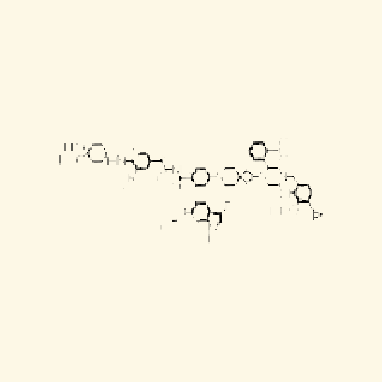 CCOc1nc2[nH]cc(F)c2cc1Oc1cc(N2CCC3(CC2)CC(N2CC(C)N(Cc4ccc(C5CC5)c(OC)c4)CC2c2ccccc2C(C)C)C3)ccc1C(=O)NC(=O)C(=O)c1cnc(NC[C@H]2CC[C@](C)(O)CC2)c(N)c1